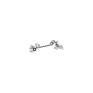 CC(C)(C)c1nc(C(=O)N2CCOC3(CCN(CCCCCCCCCNCC(O)c4ccc(O)c5[nH]c(=O)sc45)CC3)C2)cs1